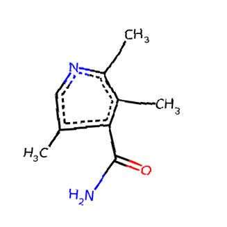 Cc1cnc(C)c(C)c1C(N)=O